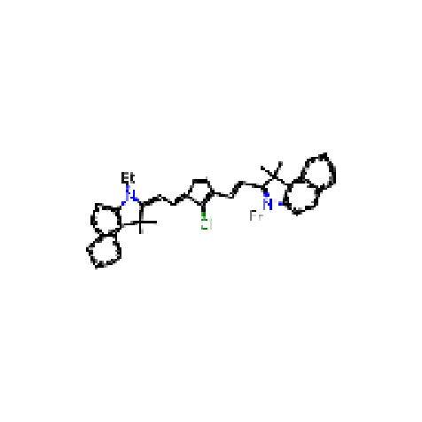 CCN1/C(=C/C=C2\C=CC(/C=C/C3=[N+](CC)c4ccc5ccccc5c4C3(C)C)=C2Cl)C(C)(C)c2c1ccc1ccccc21